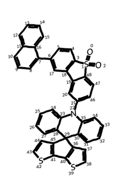 O=S1(=O)c2ccc(-c3cccc4ccccc34)cc2-c2cc(N3c4ccccc4C4(c5ccccc53)c3ccsc3-c3sccc34)ccc21